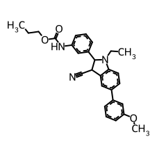 CCCOC(=O)Nc1cccc(C2C(C#N)c3cc(-c4cccc(OC)c4)ccc3N2CC)c1